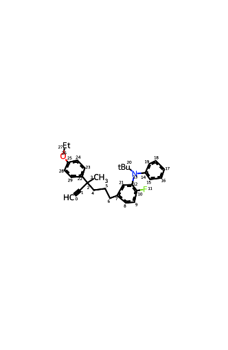 C#CC(C)(CCCc1ccc(F)c(N(c2ccccc2)C(C)(C)C)c1)c1ccc(OCC)cc1